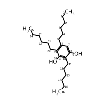 CCCCCCc1cc(O)c(CCCCCC)c(O)c1CCCCCC